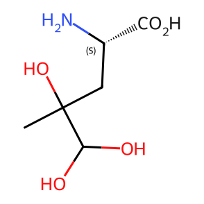 CC(O)(C[C@H](N)C(=O)O)C(O)O